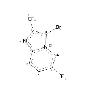 Fc1ccc2nc(C(F)(F)F)c(Br)n2c1